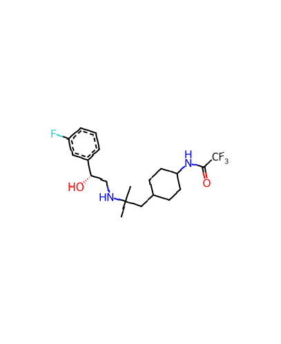 CC(C)(CC1CCC(NC(=O)C(F)(F)F)CC1)NC[C@H](O)c1cccc(F)c1